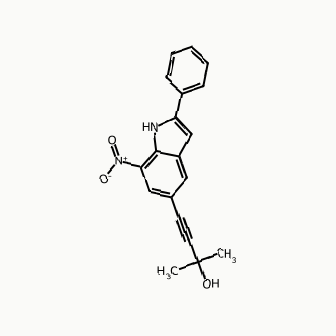 CC(C)(O)C#Cc1cc([N+](=O)[O-])c2[nH]c(-c3ccccc3)cc2c1